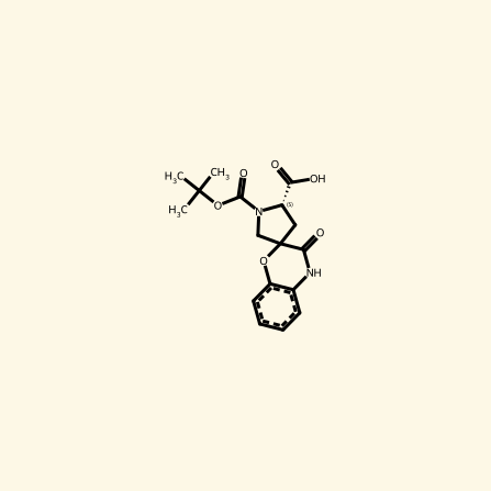 CC(C)(C)OC(=O)N1CC2(C[C@H]1C(=O)O)Oc1ccccc1NC2=O